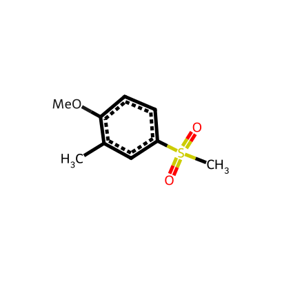 COc1ccc(S(C)(=O)=O)cc1C